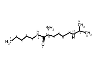 CCCCCNC(=O)[C@H](N)CCCCNC(C)C